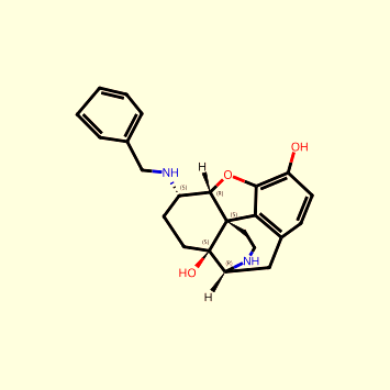 Oc1ccc2c3c1O[C@H]1[C@@H](NCc4ccccc4)CC[C@@]4(O)[C@@H](C2)NCC[C@]314